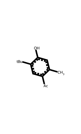 CC(=O)c1cc(C(C)(C)C)c(O)cc1C